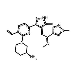 C=Cc1ccc(-c2n[nH]c(=C)/c2=C\C(=N/C)c2cnn(C)c2)nc1N1CCC[C@H](N)C1